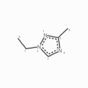 CCn1[c]nc(C)n1